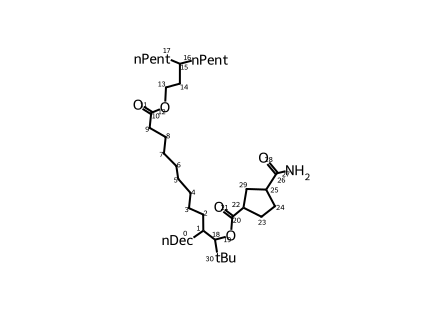 CCCCCCCCCCC(CCCCCCCCC(=O)OCCC(CCCCC)CCCCC)C(OC(=O)C1CCC(C(N)=O)C1)C(C)(C)C